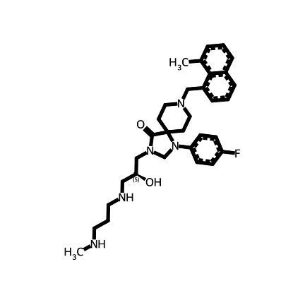 CNCCCNC[C@H](O)CN1CN(c2ccc(F)cc2)C2(CCN(Cc3cccc4cccc(C)c34)CC2)C1=O